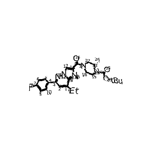 CCc1cc(-c2ccc(F)cc2)nn2cc(C(=O)N3CCN(C(=O)OC(C)(C)C)[C@@H](C)C3)nc12